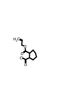 C=CCOC(=O)C1CCCCC1C(=O)Cl